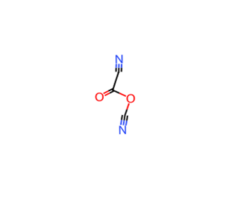 N#COC(=O)C#N